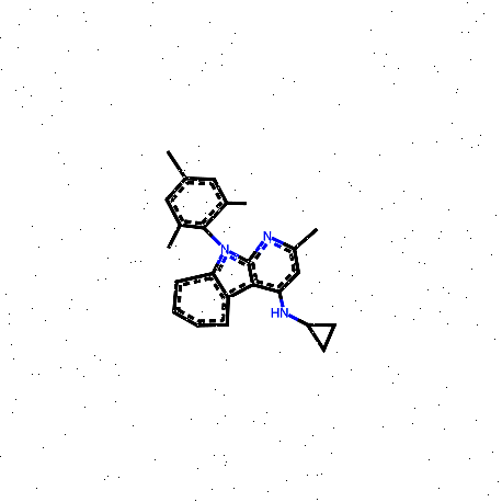 Cc1cc(C)c(-n2c3ccccc3c3c(NC4CC4)cc(C)nc32)c(C)c1